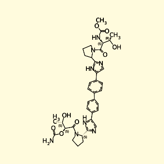 COC(=O)N[C@H](C(=O)N1CCCC1c1ncc(-c2ccc(-c3ccc(-c4cnc([C@@H]5CCCN5C(=O)[C@@H](OC(N)=O)[C@H](C)O)[nH]4)cc3)cc2)[nH]1)[C@@H](C)O